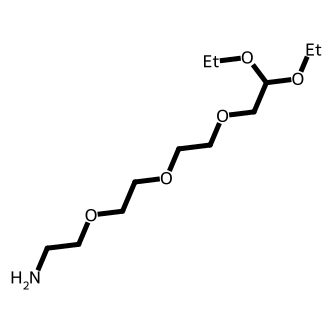 CCOC(COCCOCCOCCN)OCC